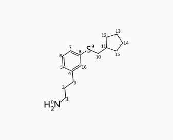 NCCCc1cccc(SCC2CCCC2)c1